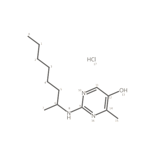 CCCCCCC(C)Nc1ncc(O)c(C)n1.Cl